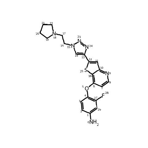 Nc1ccc(Oc2ccnc3cc(-c4cn(CCN5CCCC5)nn4)sc23)c(F)c1